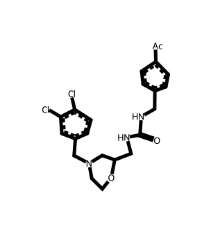 CC(=O)c1ccc(CNC(=O)NCC2CN(Cc3ccc(Cl)c(Cl)c3)CCO2)cc1